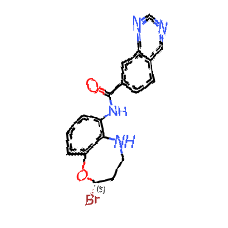 O=C(Nc1cccc2c1NCC[C@H](Br)O2)c1ccc2cncnc2c1